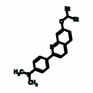 CCC(CC)Oc1ccc2ccc(-c3ccc(N(C)C)cc3)nc2c1